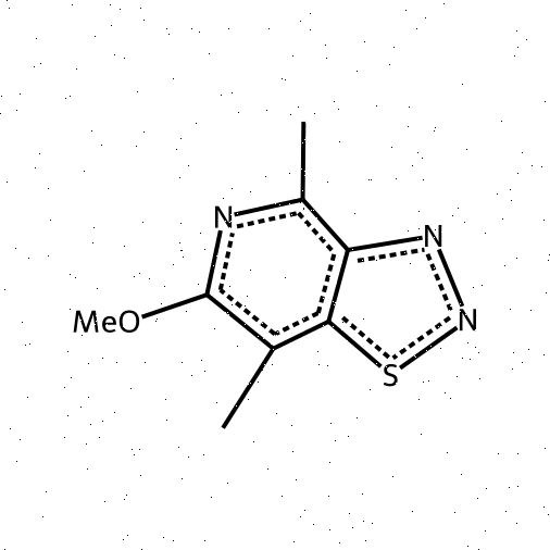 COc1nc(C)c2nnsc2c1C